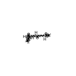 CC(C)(C)OC(=O)NCCCCCC(=O)NCCCC[C@H](NC(=O)OC(C)(C)C)C(=O)O